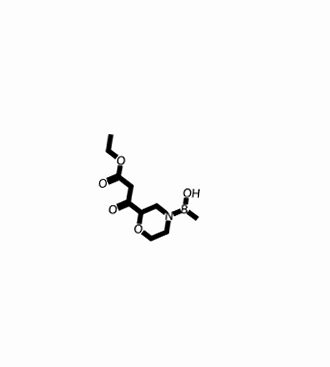 CCOC(=O)CC(=O)C1CN(B(C)O)CCO1